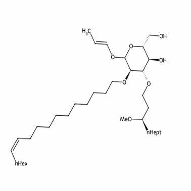 C/C=C/OC1O[C@H](CO)[C@@H](O)[C@H](OCC[C@@H](CCCCCCC)OC)[C@H]1OCCCCCCCCCC/C=C\CCCCCC